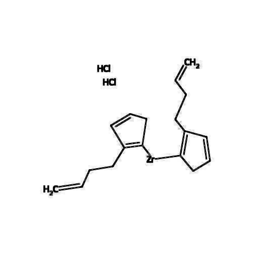 C=CCCC1=[C]([Zr][C]2=C(CCC=C)C=CC2)CC=C1.Cl.Cl